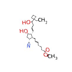 CCC1(C(O)CC=C[C@@H]2[C@@H](CC=CCCCC(=O)OC)[C@H](C#N)C[C@H]2O)CCC1